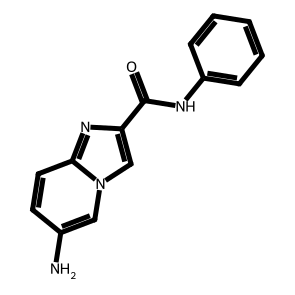 Nc1ccc2nc(C(=O)Nc3ccccc3)cn2c1